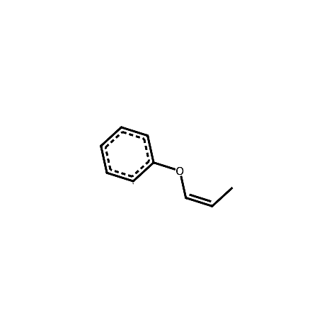 C/C=C\Oc1[c]cccc1